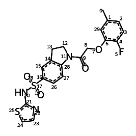 Cc1ccc(F)c(OCC(=O)N2CCc3cc(S(=O)(=O)Nc4nccs4)ccc32)c1